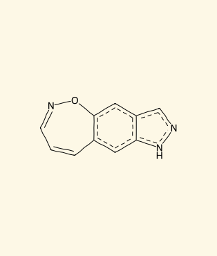 C1=Cc2cc3[nH]ncc3cc2ON=C1